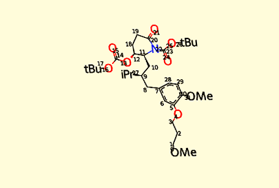 COCCCOc1cc(C[C@H](C[C@H]2[C@@H](OC(=O)OC(C)(C)C)CCC(=O)N2C(=O)OC(C)(C)C)C(C)C)ccc1OC